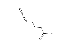 CCC(=O)CCCN=C=O